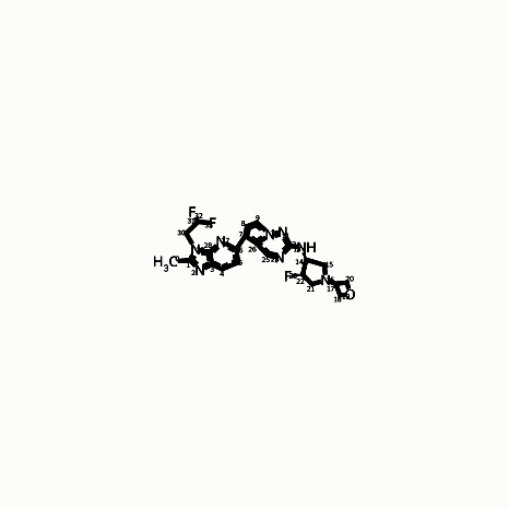 Cc1nc2ccc(-c3ccn4nc(N[C@H]5CN(C6COC6)C[C@H]5F)ncc34)nc2n1CC(F)F